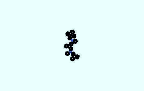 c1ccc(-c2ccc(N(c3ccccc3)c3cccc(-c4ccccc4-c4ccc5c6ccccc6n(-c6ccc7c(c6)C(c6ccccc6)(c6ccccc6)c6ccccc6-7)c5c4)c3)cc2-c2ccccc2)cc1